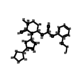 CCOc1ccccc1OC(=O)OC1CCN(C)C(=O)N1c1nnc(C2CCCC2)s1